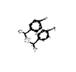 CC(O)c1ccc(Br)cc1.CC(O)c1ccc(Br)cc1